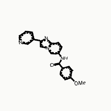 COc1ccc(C(=O)Nc2ccc3nc(-c4cccnc4)cn3c2)cc1